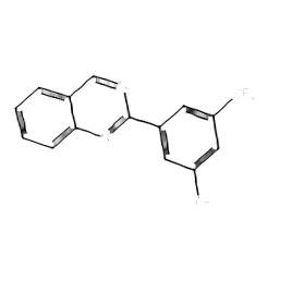 FC(F)(F)c1cc(-c2ncc3ccccc3n2)cc(C(F)(F)F)c1